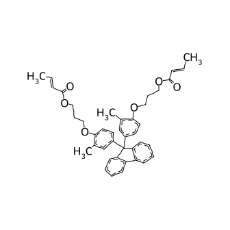 CC=CC(=O)OCCCOc1ccc(C2(c3ccc(OCCCOC(=O)C=CC)c(C)c3)c3ccccc3-c3ccccc32)cc1C